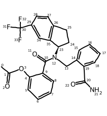 CC(=O)Oc1ccccc1C(=O)N(Cc1ccccc1C(N)=O)[C@@H]1CCc2ccc(C(F)(F)F)cc21